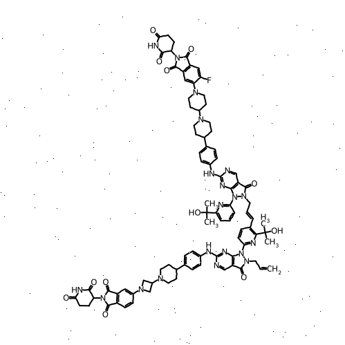 C=CCn1c(=O)c2cnc(Nc3ccc(C4CCN(C5CN(c6ccc7c(c6)C(=O)N(C6CCC(=O)NC6=O)C7=O)C5)CC4)cc3)nc2n1-c1ccc(/C=C/Cn2c(=O)c3cnc(Nc4ccc(C5CCN(C6CCN(c7cc8c(cc7F)C(=O)N(C7CCC(=O)NC7=O)C8=O)CC6)CC5)cc4)nc3n2-c2cccc(C(C)(C)O)n2)c(C(C)(C)O)n1